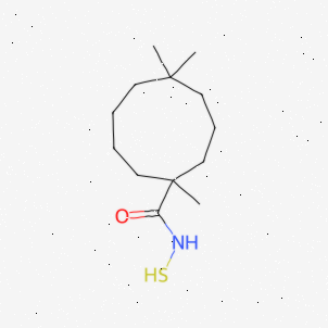 CC1(C)CCCCC(C)(C(=O)NS)CCC1